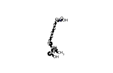 CCc1cnn2c(NCc3ccc(OCCOCCOCCOCCOCCN(C)C/C=C/C(=O)O)nc3)cc(N3CCCCC3CCO)nc12